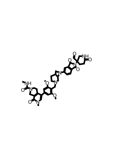 CNC(=O)N1CCc2c(-c3cc(OC)c(CN4CCC5CN(c6ccc7c(c6)C(=O)N(C6(C=O)CCC(=O)NC6)C7=O)C5C4)c(OC)c3)cn(C)c(=O)c2C1